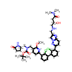 COc1nc(-c2cccc(-c3cccc(-c4ccc5nc(CNC[C@@H](O)CC(=O)N(C)C)cn5n4)c3Cl)c2Cl)ccc1CN(C[C@@H]1CCC(=O)N1)C(=O)OC(C)(C)C